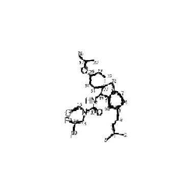 CC(C)CCc1ccc2c(c1)C(NC(=O)N(C=O)CC(F)F)[C@]1(CC[C@H](OC(C)C)CC1)C2